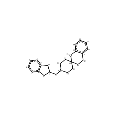 c1ccc2c(c1)CC(CN1CCC3(CCc4ccccc4O3)CC1)C2